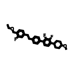 CCOCc1ccc(CCc2ccc(-c3ccc(C4CCC(OC)CC4)c(F)c3F)cc2)cc1F